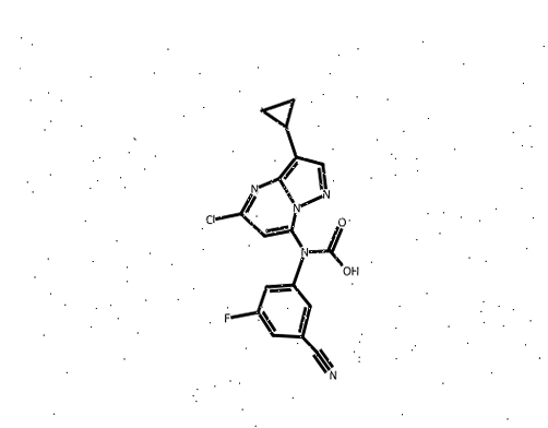 N#Cc1cc(F)cc(N(C(=O)O)c2cc(Cl)nc3c(C4CC4)cnn23)c1